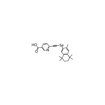 Cc1cc2c(cc1[Se]C#Cc1ccc(C(=O)O)cn1)C(C)(C)CCC2(C)C